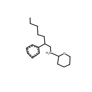 CCCCCC(C[SiH2]C1CCCCO1)c1ccccc1